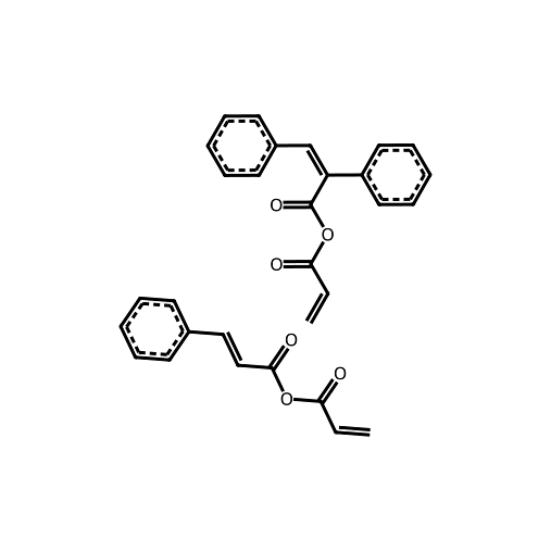 C=CC(=O)OC(=O)C(=Cc1ccccc1)c1ccccc1.C=CC(=O)OC(=O)C=Cc1ccccc1